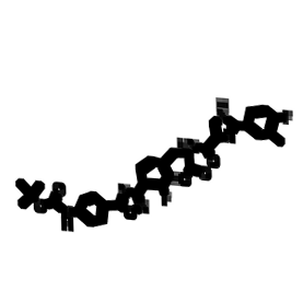 Cc1cc(-c2nc(C(=O)NC(Cc3ccc(-c4noc(-c5ccc(NC(=O)OC(C)(C)C)cc5)n4)c(F)c3)C(=O)O)c[nH]2)ccc1F